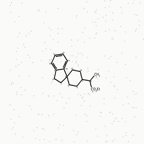 CCOC(=O)C(C)C1CCC2(CCc3ccccc32)CC1